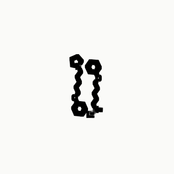 CCN(C)CCCCCOc1ccccc1.c1ccc(OCCCCCN2CCCC2)cc1